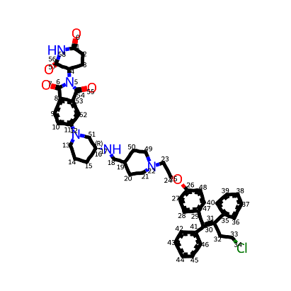 O=C1CCC(N2C(=O)c3ccc(N4CCC[C@@H](NCC5CCN(CCOc6ccc(C(=C(CCCl)c7ccccc7)c7ccccc7)cc6)CC5)C4)cc3C2=O)C(=O)N1